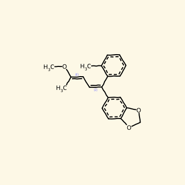 CO/C(C)=C/C=C(/c1ccc2c(c1)OCO2)c1ccccc1C